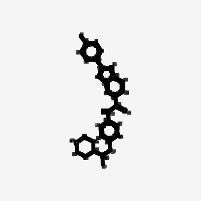 Cc1ccc(-c2cc3cc(C(=O)Nc4ccc(CN(C)C5CCOCC5)cc4)ccc3o2)cc1